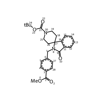 COC(=O)c1ccc(CN2C(=O)c3ccccc3C23CCN(C(=O)OC(C)(C)C)CC3)cc1